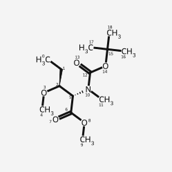 CC[C@H](OC)[C@@H](C(=O)OC)N(C)C(=O)OC(C)(C)C